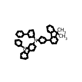 CC1(C)c2ccccc2-c2c(-c3ccc(N(c4cccc(-c5ccccc5)c4)c4ccc5c6ccccc6n(-c6ccccc6)c5c4)cc3)cccc21